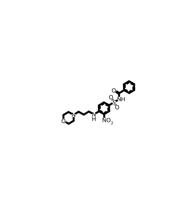 O=C(NS(=O)(=O)c1ccc(NCCCN2CCOCC2)c([N+](=O)[O-])c1)c1ccccc1